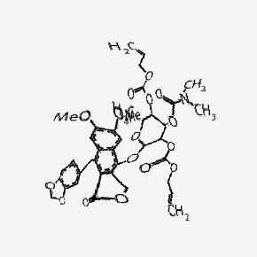 C=CCOC(=O)O[C@H]1[C@H](OC(=O)N(C)C)[C@@H](OC(=O)OCC=C)C(Oc2c3c(c(-c4ccc5c(c4)OCO5)c4cc(OC)c(OC)cc24)C(=O)OC3)O[C@@H]1C